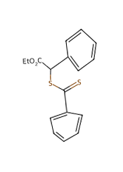 CCOC(=O)C(SC(=S)c1ccccc1)c1ccccc1